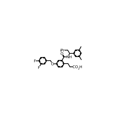 Cc1cc(C)cc(C(CC(C)C)NC(=O)c2cc(OCc3ccc(F)c(F)c3)ccc2CCC(=O)O)c1